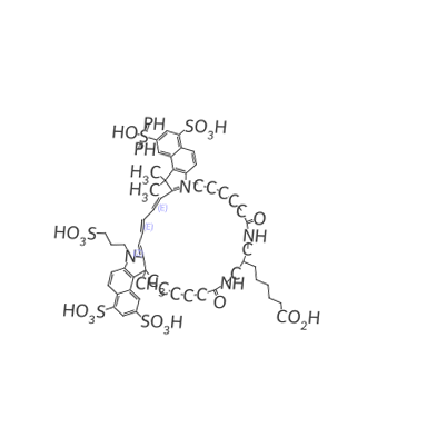 CC1(C)C2=[N+](CCCCCC(=O)NCC(CCCCCC(=O)O)CNC(=O)CCCCCC3(C)/C(=C/C=C/C=C/2)N(CCCS(=O)(=O)O)c2ccc4c(S(=O)(=O)O)cc(S(=O)(=O)O)cc4c23)c2ccc3c(S(=O)(=O)O)cc(S(O)(=P)=P)cc3c21